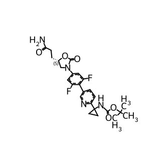 CC(C)(C)OC(=O)NC1(c2ccc(-c3c(F)cc(N4C[C@H](CCC(N)=O)OC4=O)cc3F)cn2)CC1